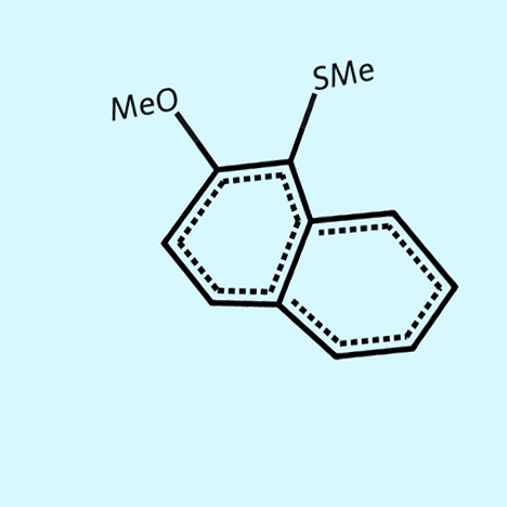 COc1ccc2ccccc2c1SC